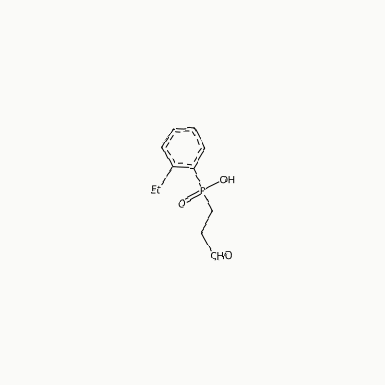 CCc1ccccc1P(=O)(O)CCC=O